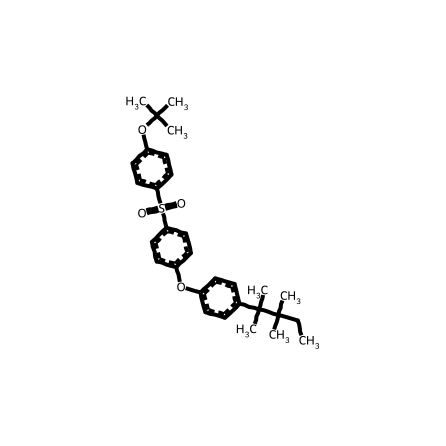 CCC(C)(C)C(C)(C)c1ccc(Oc2ccc(S(=O)(=O)c3ccc(OC(C)(C)C)cc3)cc2)cc1